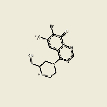 N#CCC1CN(c2ncnn3c(=O)c(Br)c(C(F)(F)F)cc23)CCN1